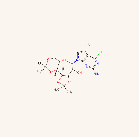 Cc1cn([C@@H]2OC3COC(C)(C)O[C@H]3[C@@H]3OC(C)(C)OC3C2O)c2nc(N)nc(Cl)c12